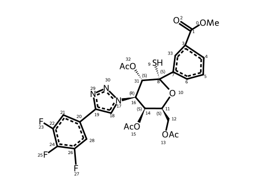 COC(=O)c1cccc([C@@]2(S)O[C@@H](COC(C)=O)[C@@H](OC(C)=O)[C@@H](n3cc(-c4cc(F)c(F)c(F)c4)nn3)[C@@H]2OC(C)=O)c1